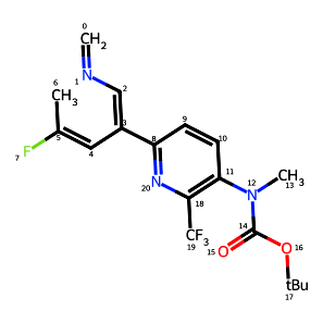 C=N/C=C(\C=C(/C)F)c1ccc(N(C)C(=O)OC(C)(C)C)c(C(F)(F)F)n1